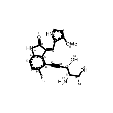 COc1cc[nH]c1/C=C1\C(=O)Nc2ccc(F)c(C#C[C@H](O)[C@@H](N)[C@@H](C)O)c21